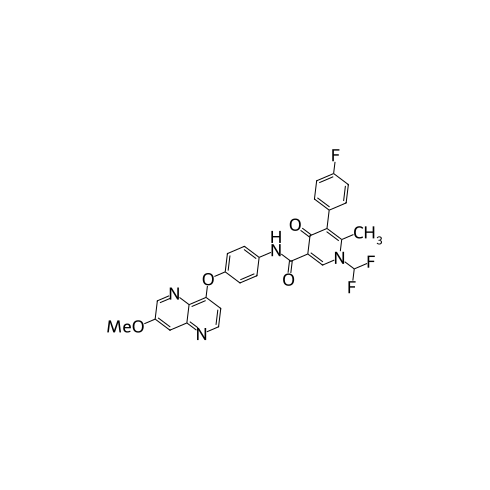 COc1cnc2c(Oc3ccc(NC(=O)c4cn(C(F)F)c(C)c(-c5ccc(F)cc5)c4=O)cc3)ccnc2c1